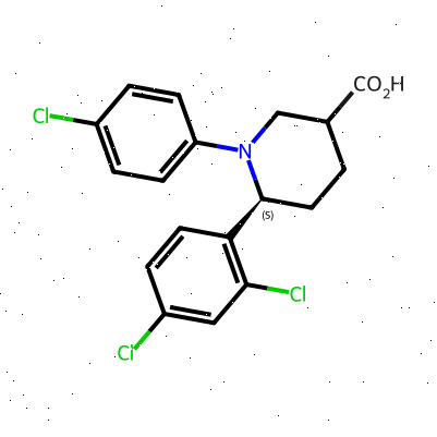 O=C(O)C1CC[C@@H](c2ccc(Cl)cc2Cl)N(c2ccc(Cl)cc2)C1